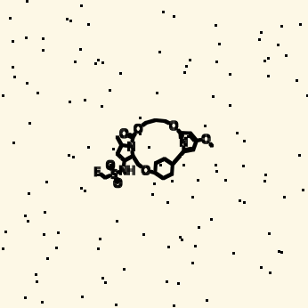 COc1cc2nc(c1)C1CCC(CC1)OCC1C(NS(=O)(=O)CF)CC(C)N1C(=O)OCCCO2